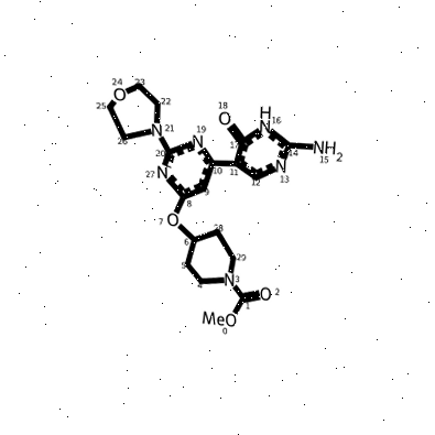 COC(=O)N1CCC(Oc2cc(-c3cnc(N)[nH]c3=O)nc(N3CCOCC3)n2)CC1